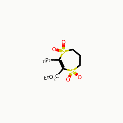 CCCC1=C(C(=O)OCC)S(=O)(=O)CCCS1(=O)=O